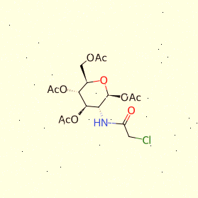 CC(=O)OC[C@H]1O[C@@H](OC(C)=O)[C@H](NC(=O)CCl)[C@@H](OC(C)=O)[C@@H]1OC(C)=O